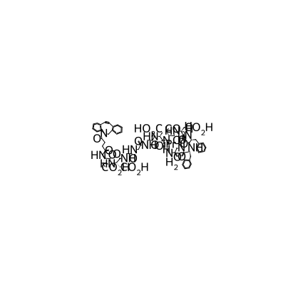 CC(C)[C@H](NC(=O)[C@H](Cc1ccccc1)NC(=O)[C@H](Cc1ccccc1)NC(=O)[C@H](CC(=O)O)NC(=O)[C@H](CC(=O)O)NC(=O)[C@H](CC(=O)O)NC(=O)CNC(=O)CNC(=O)CNC(=O)[C@H](CC(=O)O)NC(=O)[C@H](CC(=O)O)NC(=O)CCC(=O)N1Cc2ccccc2C#Cc2ccccc21)C(N)=O